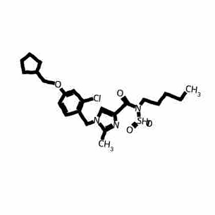 CCCCCN(C(=O)c1cn(Cc2ccc(OCC3CCCC3)cc2Cl)c(C)n1)[SH](=O)=O